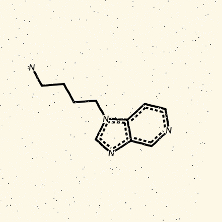 [N]CCCCn1cnc2cnccc21